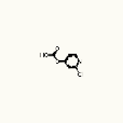 O=C(O)Oc1ccnc(Cl)c1